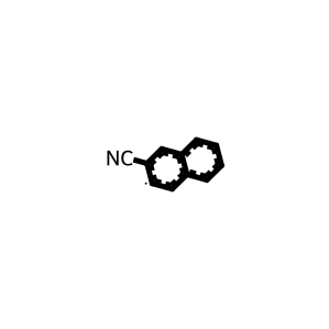 N#Cc1[c]cc2ccccc2c1